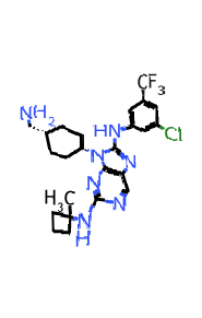 CC1(Nc2ncc3nc(Nc4cc(Cl)cc(C(F)(F)F)c4)n([C@H]4CC[C@@H](CN)CC4)c3n2)CCC1